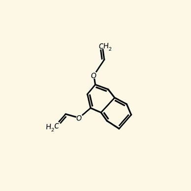 C=COc1cc(OC=C)c2ccccc2c1